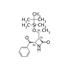 C[C@@H](O[Si](C)(C)C(C)(C)C)[C@H]1C(=O)N[C@H]1C(=O)c1ccccc1